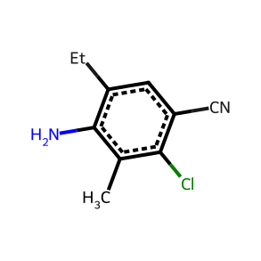 CCc1cc(C#N)c(Cl)c(C)c1N